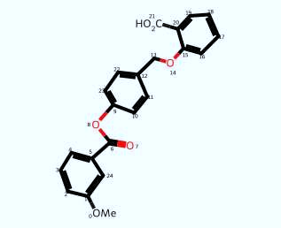 COc1cccc(C(=O)Oc2ccc(COc3ccccc3C(=O)O)cc2)c1